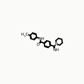 Cc1ccc(NC(=O)c2ccc(C(=N)N3CCCCC3)cc2)cc1